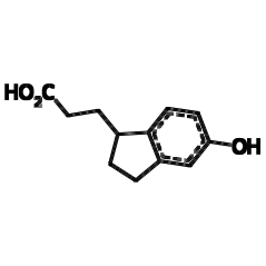 O=C(O)CCC1CCc2cc(O)ccc21